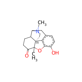 CN1CC[C@]23c4c5ccc(O)c4OC2(C)C(=O)CCC3C1C5